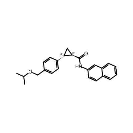 CC(C)OCc1ccc([C@@H]2C[C@H]2C(=O)Nc2ccc3ccccc3c2)cc1